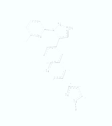 Cc1cccc(-c2n[nH]cc2-c2ccc3ncc(-c4ccn(C)n4)cc3c2)n1